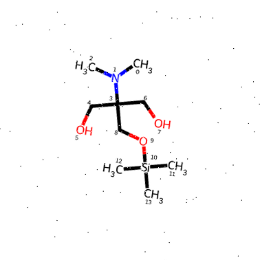 CN(C)C(CO)(CO)CO[Si](C)(C)C